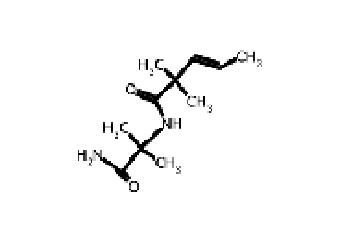 C/C=C/C(C)(C)C(=O)NC(C)(C)C(N)=O